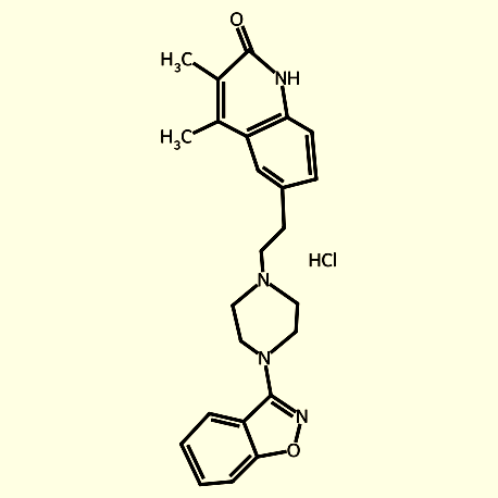 Cc1c(C)c2cc(CCN3CCN(c4noc5ccccc45)CC3)ccc2[nH]c1=O.Cl